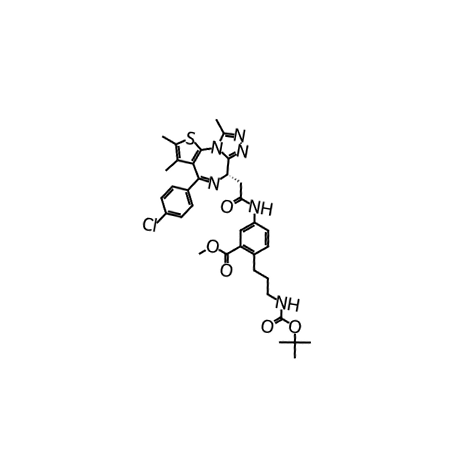 COC(=O)c1cc(NC(=O)C[C@@H]2N=C(c3ccc(Cl)cc3)c3c(sc(C)c3C)-n3c(C)nnc32)ccc1CCCNC(=O)OC(C)(C)C